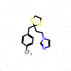 FC(F)(F)c1ccc(CC2(CCn3ccnc3)SCCS2)cc1